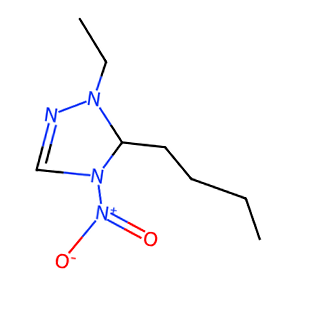 CCCCC1N(CC)N=CN1[N+](=O)[O-]